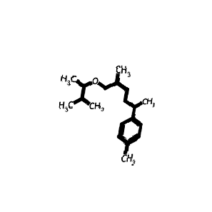 Cc1ccc(C(C)CCC(C)COC(C)C(C)C)cc1